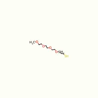 COCCOCCOCCO[SiH2]CCS